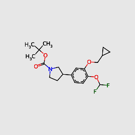 CC(C)(C)OC(=O)N1CCC(c2ccc(OC(F)F)c(OCC3CC3)c2)C1